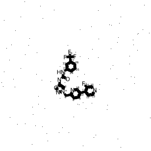 O=C([N-]c1c[n+](Cc2ccc(-c3ccncc3F)cn2)no1)Nc1cccc(C(F)(F)F)c1